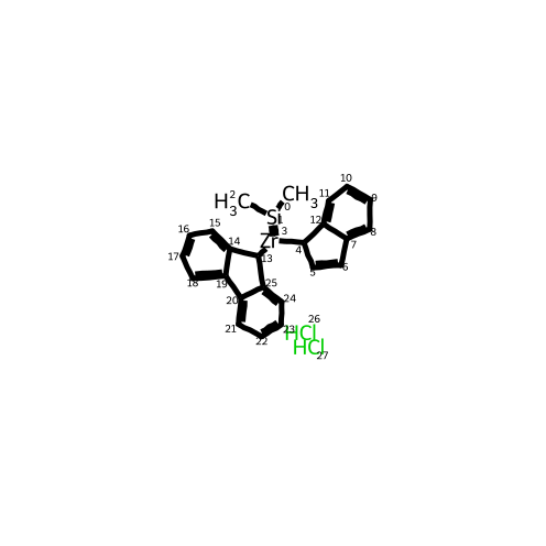 C[Si](C)=[Zr]([CH]1C=Cc2ccccc21)[CH]1c2ccccc2-c2ccccc21.Cl.Cl